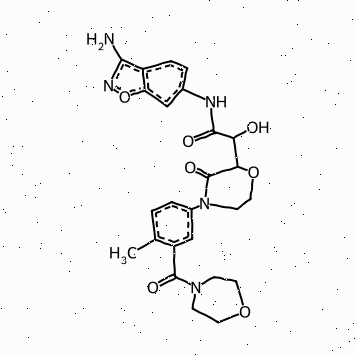 Cc1ccc(N2CCOC(C(O)C(=O)Nc3ccc4c(N)noc4c3)C2=O)cc1C(=O)N1CCOCC1